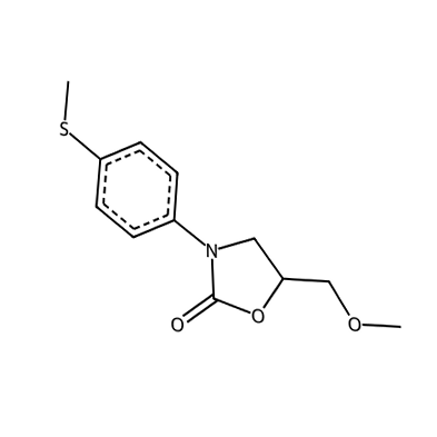 COCC1CN(c2ccc(SC)cc2)C(=O)O1